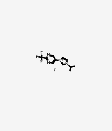 CC(C)n1cc[n+](-c2cnc(C(F)(F)F)nc2)c1.[I-]